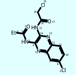 CCC(=O)Nc1nc2cc(Cl)ccc2nc1NC(=O)CCl